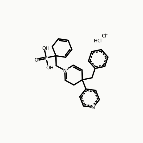 Cl.O=P(O)(O)C1(C[N+]2=CCC(Cc3ccccc3)(c3ccncc3)C=C2)C=CC=CC1.[Cl-]